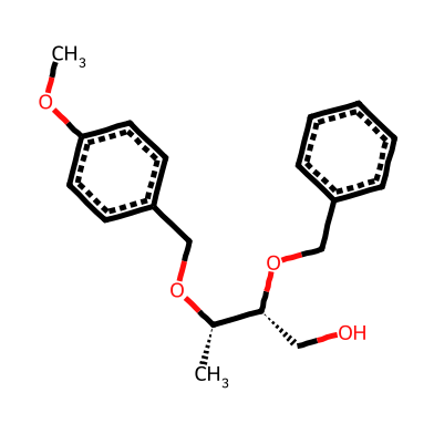 COc1ccc(CO[C@@H](C)[C@@H](CO)OCc2ccccc2)cc1